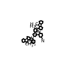 CC1(C)c2ccccc2-c2ccc3c(c21)c1ccccc1n3-c1ccnc(-c2cc(C#N)ccc2-n2c3ccccc3c3c4c(ccc32)-c2ccccc2C4(C)C)c1